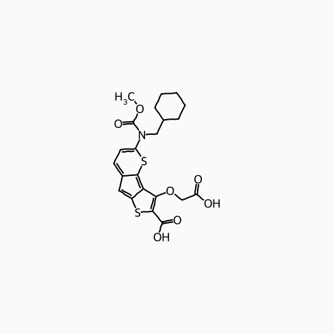 COC(=O)N(CC1CCCCC1)c1ccc2cc3sc(C(=O)O)c(OCC(=O)O)c3c-2s1